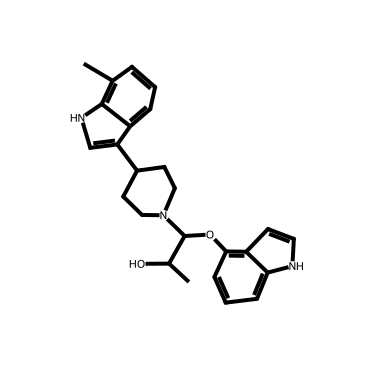 Cc1cccc2c(C3CCN(C(Oc4cccc5[nH]ccc45)C(C)O)CC3)c[nH]c12